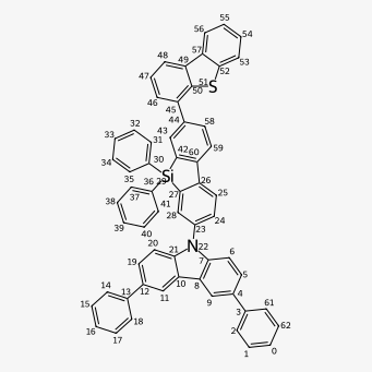 c1ccc(-c2ccc3c(c2)c2cc(-c4ccccc4)ccc2n3-c2ccc3c(c2)[Si](c2ccccc2)(c2ccccc2)c2cc(-c4cccc5c4sc4ccccc45)ccc2-3)cc1